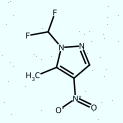 Cc1c([N+](=O)[O-])cnn1C(F)F